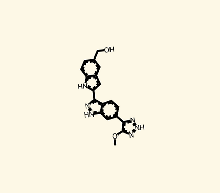 COc1n[nH]nc1-c1ccc2c(-c3cc4cc(CO)ccc4[nH]3)n[nH]c2c1